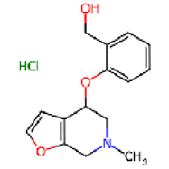 CN1Cc2occc2C(Oc2ccccc2CO)C1.Cl